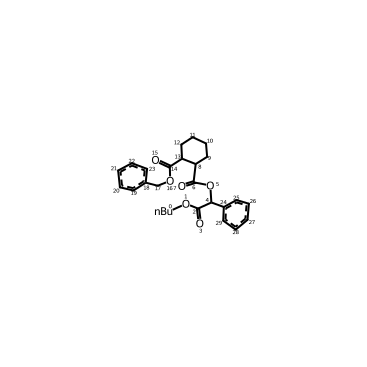 CCCCOC(=O)C(OC(=O)C1CCCCC1C(=O)OCc1ccccc1)c1ccccc1